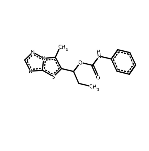 CCC(OC(=O)Nc1ccccc1)c1sc2ncnn2c1C